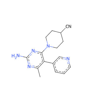 Cc1nc(N)nc(N2CCC(C#N)CC2)c1-c1cccnc1